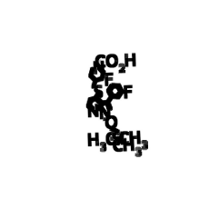 C[Si](C)(C)CCOCn1cc(-c2cc(F)cc(F)c2)c2c(SCC3CCN(C(=O)O)CC3)ccnc21